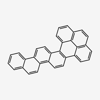 c1ccc2c(c1)ccc1c2ccc2c1ccc1c3cccc4ccc5cccc(c21)c5c43